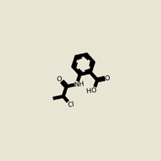 CC(Cl)C(=O)Nc1ccccc1C(=O)O